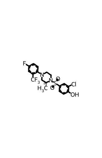 C[C@@H]1CN(c2ccc(F)cc2C(F)(F)F)CCN1S(=O)(=O)c1ccc(O)c(Cl)c1